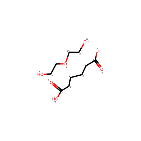 O=C(O)CCCCC(=O)O.OCCOCCO